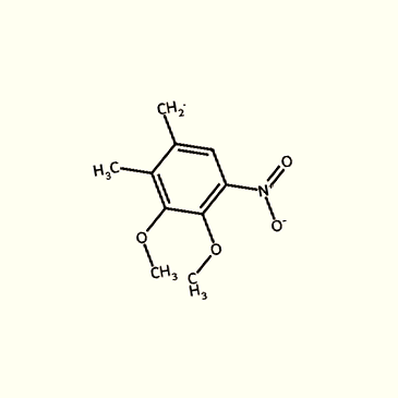 [CH2]c1cc([N+](=O)[O-])c(OC)c(OC)c1C